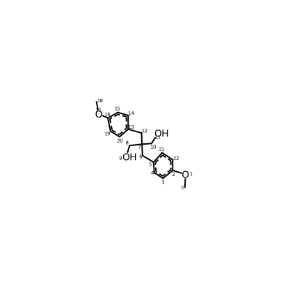 COc1ccc(CC(CO)(CO)Cc2ccc(OC)cc2)cc1